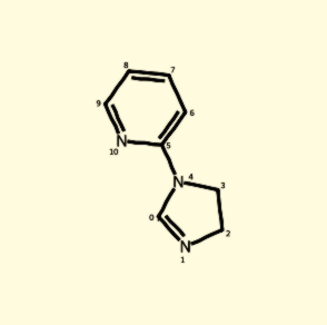 [C]1=NCCN1c1ccccn1